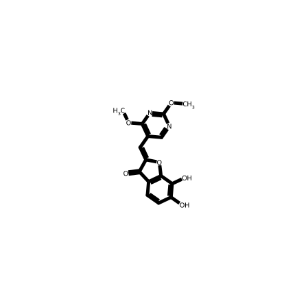 COc1ncc(/C=C2\Oc3c(ccc(O)c3O)C2=O)c(OC)n1